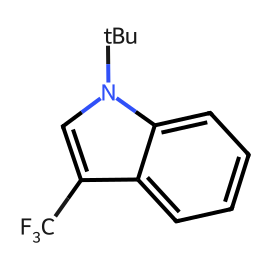 CC(C)(C)n1cc(C(F)(F)F)c2ccccc21